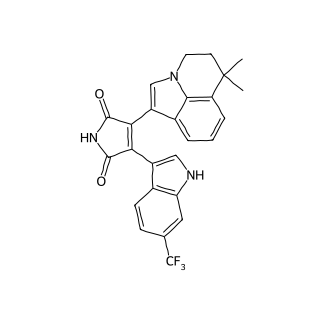 CC1(C)CCn2cc(C3=C(c4c[nH]c5cc(C(F)(F)F)ccc45)C(=O)NC3=O)c3cccc1c32